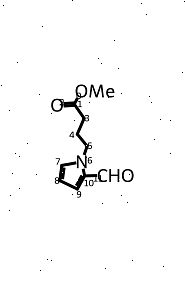 COC(=O)CCCn1cccc1C=O